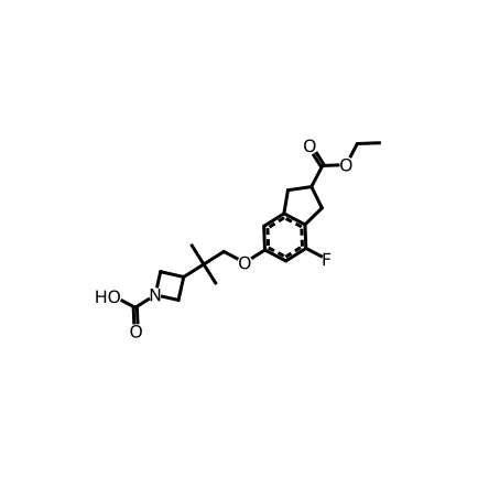 CCOC(=O)C1Cc2cc(OCC(C)(C)C3CN(C(=O)O)C3)cc(F)c2C1